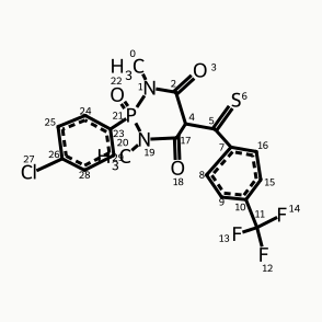 CN1C(=O)C(C(=S)c2ccc(C(F)(F)F)cc2)C(=O)N(C)P1(=O)c1ccc(Cl)cc1